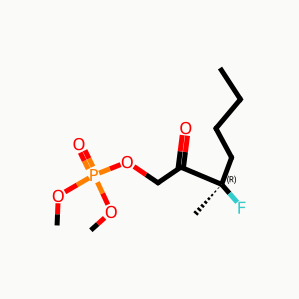 CCCC[C@@](C)(F)C(=O)COP(=O)(OC)OC